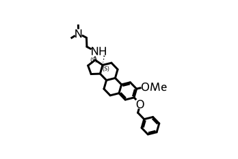 COc1cc2c(cc1OCc1ccccc1)CCC1C2CC[C@@]2(C)C1CC[C@@H]2NCCN(C)C